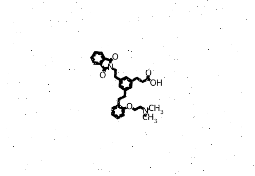 CN(C)CCOc1ccccc1CCc1cc(CCC(=O)O)cc(CCN2C(=O)c3ccccc3C2=O)c1